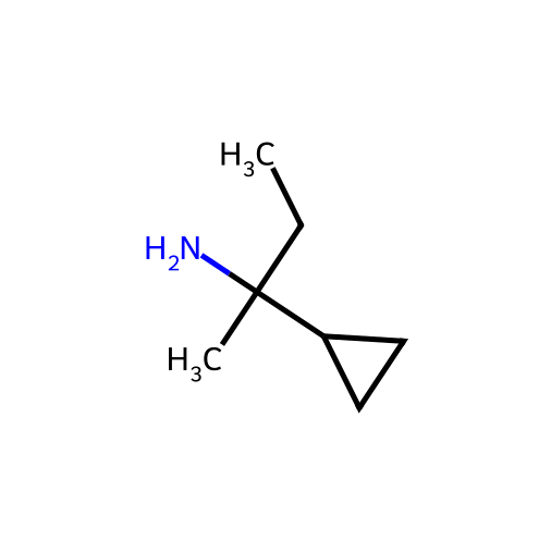 CCC(C)(N)C1CC1